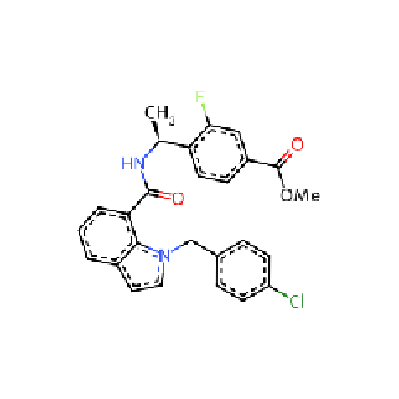 COC(=O)c1ccc([C@H](C)NC(=O)c2cccc3ccn(Cc4ccc(Cl)cc4)c23)c(F)c1